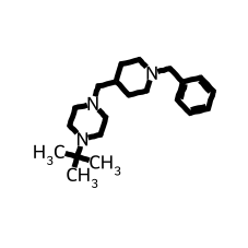 CC(C)(C)N1CCN(CC2CCN(Cc3ccccc3)CC2)CC1